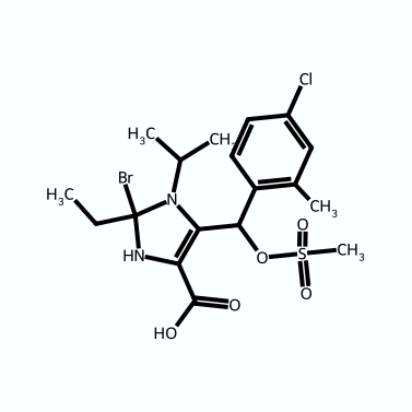 CCC1(Br)NC(C(=O)O)=C(C(OS(C)(=O)=O)c2ccc(Cl)cc2C)N1C(C)C